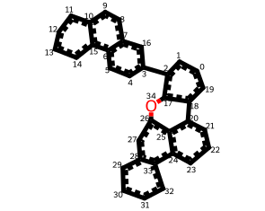 c1cc(-c2ccc3c(ccc4ccccc43)c2)c2c(c1)-c1cccc3c1c(cc1ccccc13)O2